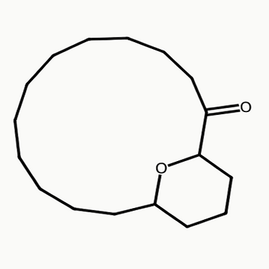 O=C1CCCCCCCCCCCC2CCCC1O2